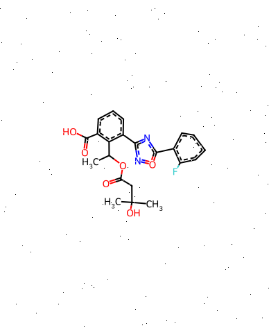 CC(OC(=O)CC(C)(C)O)c1c(C(=O)O)cccc1-c1noc(-c2ccccc2F)n1